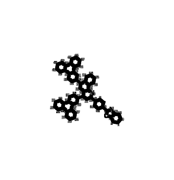 c1ccc2oc(-c3ccc(-c4cc(-c5ccc6c7ccccc7c7ccccc7c6c5)c5cc(-c6ccc7c8ccccc8c8ccccc8c7c6)c6ccccc6c5n4)cc3)nc2c1